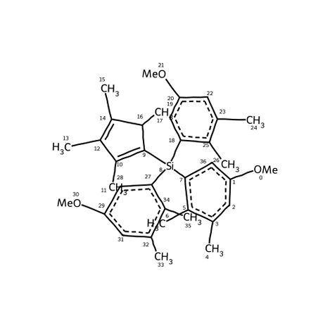 COc1cc(C)c(C)c([Si](C2=C(C)C(C)=C(C)C2C)(c2cc(OC)cc(C)c2C)c2cc(OC)cc(C)c2C)c1